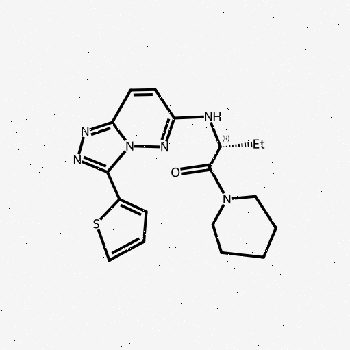 CC[C@@H](Nc1ccc2nnc(-c3cccs3)n2n1)C(=O)N1CCCCC1